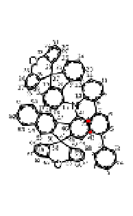 c1ccc(-c2ccc(-c3ccccc3N(c3cccc4c3-c3ccccc3C43c4ccccc4Oc4ccccc43)c3cccc4c3-c3cc5ccccc5cc3C43c4ccccc4Oc4ccccc43)cc2)cc1